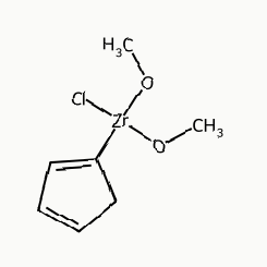 C[O][Zr]([Cl])([O]C)[C]1=CC=CC1